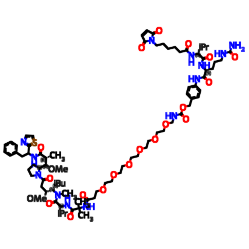 CC[C@H](C)[C@@H](C(CC(=O)N1CCC[C@H]1[C@H](OC)[C@@H](C)C(=O)NC(Cc1ccccc1)c1nccs1)OC)N(C)C(=O)[C@@H](NC(=O)C(C)(C)NC(=O)CCOCCOCCOCCOCCOCCOCNC(=O)OCc1ccc(NC(=O)[C@H](CCCNC(N)=O)NC(=O)[C@@H](NC(=O)CCCCCN2C(=O)C=CC2=O)C(C)C)cc1)C(C)C